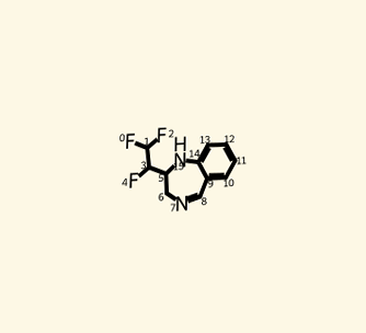 FC(F)C(F)C1CN=Cc2ccccc2N1